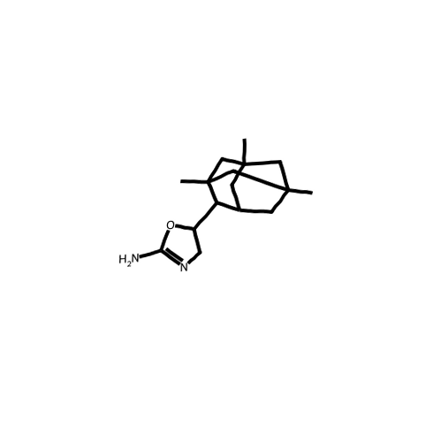 CC12CC3CC(C)(C1)CC(C)(C2)C3C1CN=C(N)O1